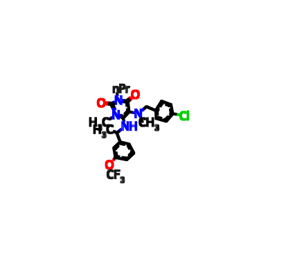 CCCn1c(=O)c(N(C)Cc2ccc(Cl)cc2)c(NC(C)c2cccc(OC(F)(F)F)c2)n(C)c1=O